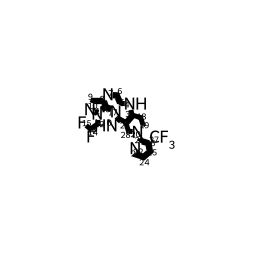 N=CC1=C(Nc2cnc3cnn(CC(F)F)c3n2)CCN(c2ncccc2C(F)(F)F)C1